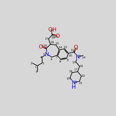 CC(C)CCN1Cc2ccc(C(=O)N(C)CCC3CCNCC3)cc2CC(CC(=O)O)C1=O